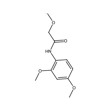 [CH2]OCC(=O)Nc1ccc(OC)cc1OC